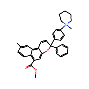 COC(=O)c1cc2c(c3cc(C)ccc13)C=CC(c1ccccc1)(c1ccc([N+]3(C)CCCCC3)cc1)O2